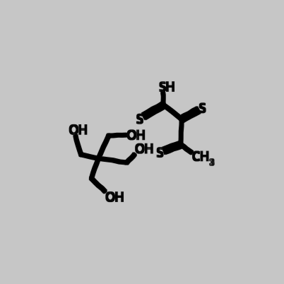 CC(=S)C(=S)C(=S)S.OCC(CO)(CO)CO